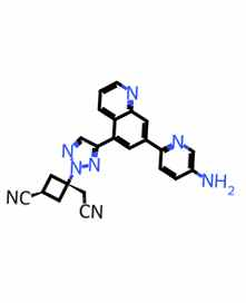 N#CC[C@]1(n2ncc(-c3cc(-c4ccc(N)cn4)cc4ncccc34)n2)C[C@H](C#N)C1